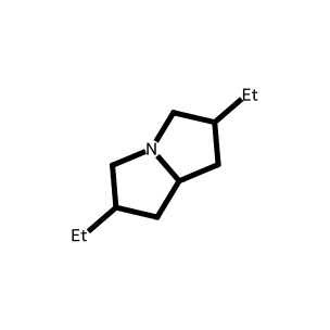 CCC1C[C]2CC(CC)CN2C1